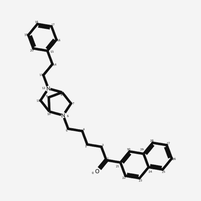 O=C(CCCCN1CC2CC1CN2CCc1ccccc1)c1ccc2ccccc2c1